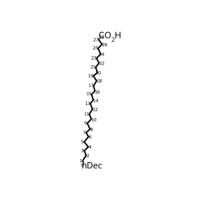 CCCCCCCCCCCCCCCCCCCCCCCCCCCCCCCCCCCCCC(=O)O